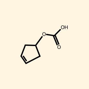 O=C(O)OC1CC=CC1